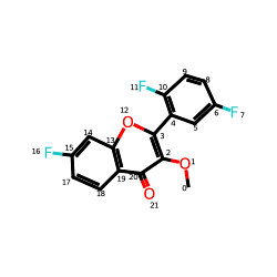 COc1c(-c2cc(F)ccc2F)oc2cc(F)ccc2c1=O